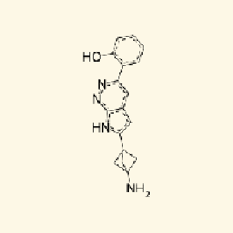 NC12CC(c3cc4cc(-c5ccccc5O)nnc4[nH]3)(C1)C2